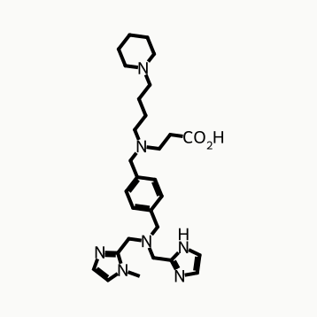 Cn1ccnc1CN(Cc1ccc(CN(CCCCN2CCCCC2)CCC(=O)O)cc1)Cc1ncc[nH]1